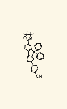 CC1(C)OB(c2ccc3c(c2)C(c2ccccc2)(c2ccccc2)c2cc(-c4ccc(C#N)cc4)ccc2-3)OC1(C)C